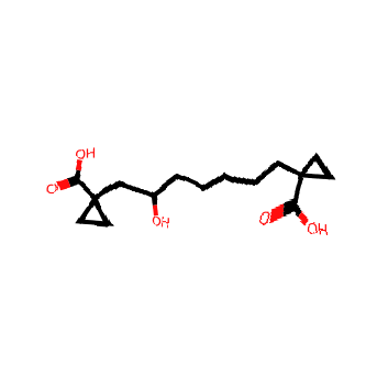 O=C(O)C1(CCCCCC(O)CC2(C(=O)O)CC2)CC1